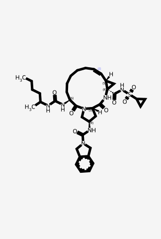 CCCCC(C)NC(=O)N[C@H]1CCCCC/C=C\[C@@H]2C[C@@]2(C(=O)NS(=O)(=O)C2CC2)NC(=O)[C@@H]2C[C@@H](NC(=O)N3Cc4ccccc4C3)CN2C1=O